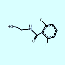 O=C(NCCO)c1c(F)cccc1F